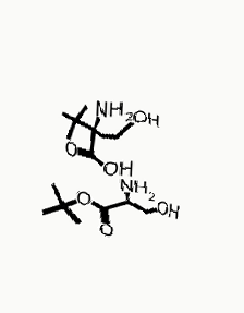 CC(C)(C)OC(=O)[C@@H](N)CO.CC(C)(C)[C@](N)(CO)C(=O)O